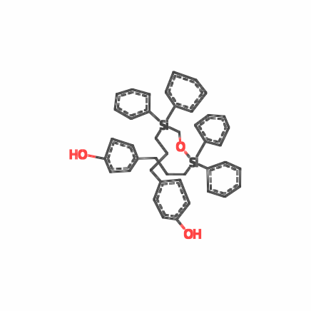 Oc1ccc(CCC[Si](CO[Si](CCCc2ccc(O)cc2)(c2ccccc2)c2ccccc2)(c2ccccc2)c2ccccc2)cc1